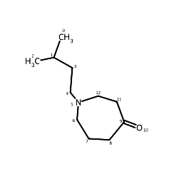 CC(C)CCN1CCCC(=O)CC1